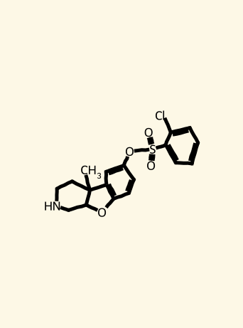 CC12CCNCC1Oc1ccc(OS(=O)(=O)c3ccccc3Cl)cc12